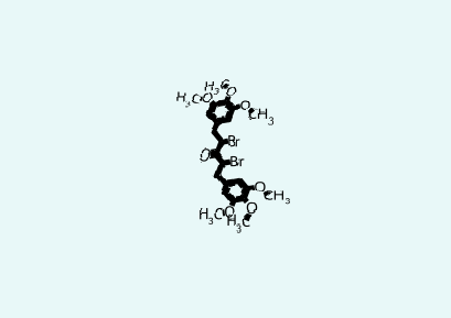 COc1cc(CC(Br)C(=O)C(Br)Cc2cc(OC)c(OC)c(OC)c2)cc(OC)c1OC